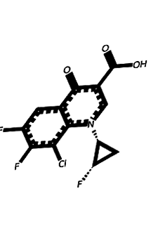 O=C(O)c1cn([C@@H]2C[C@@H]2F)c2c(Cl)c(F)c(F)cc2c1=O